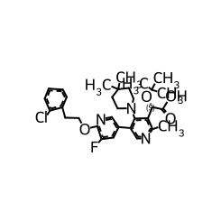 Cc1ncc(-c2cnc(OCCc3ccccc3Cl)c(F)c2)c(N2CCC(C)(C)CC2)c1[C@H](OC(C)(C)C)C(=O)O